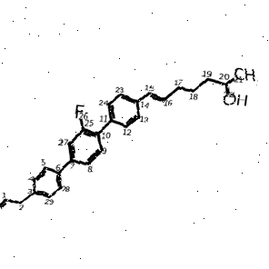 C=CCc1ccc(-c2ccc(-c3ccc(C=CCCCC(C)O)cc3)c(F)c2)cc1